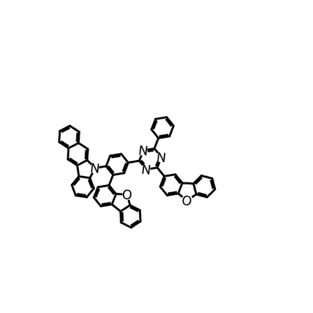 c1ccc(-c2nc(-c3ccc(-n4c5ccccc5c5cc6ccccc6cc54)c(-c4cccc5c4oc4ccccc45)c3)nc(-c3ccc4oc5ccccc5c4c3)n2)cc1